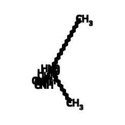 CCCCCCCCCCCCCCCCCCCCCC(=O)N[C@@H](CCCNC(=N)N[N+](=O)[O-])C(=O)NCCCCCCCCCCCC